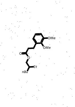 CCCCC(CC)COC(=O)CCc1cccc(OC)c1OC